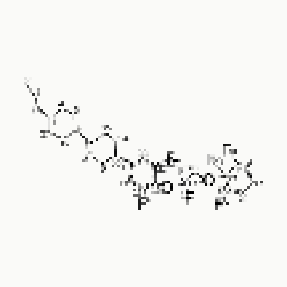 CCC[C@H]1CC[C@H]([C@H]2CC[C@H](c3cc(F)c(OC(F)(F)COC4(F)C(F)=CC=CC4F)c(F)c3)CC2)CC1